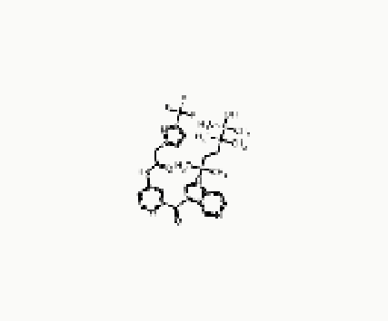 CC(C)(CCC(C)(C)[Si](C)(C)O)n1cc(C(=O)c2cc(NC(=O)Cn3ccc(C(F)(F)F)n3)ccn2)c2cnccc21